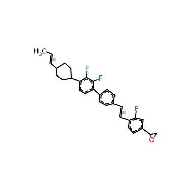 C/C=C/C1CCC(c2ccc(-c3ccc(/C=C/c4ccc(C5CO5)cc4F)cc3)c(F)c2F)CC1